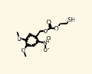 COc1cc(COC(=O)OCCS)c([N+](=O)[O-])cc1OC